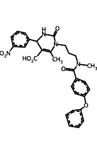 CC1=C(C(=O)O)C(c2cccc([N+](=O)[O-])c2)NC(=O)N1CCCN(C)C(=O)c1ccc(Oc2ccccc2)cc1